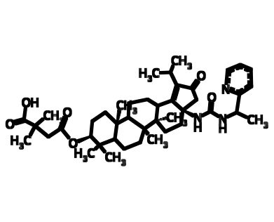 CC(C)C1=C2C3CCC4[C@@]5(C)CC[C@H](OC(=O)CC(C)(C)C(=O)O)C(C)(C)C5CC[C@@]4(C)[C@]3(C)CC[C@@]2(NC(=O)NC(C)c2ccccn2)CC1=O